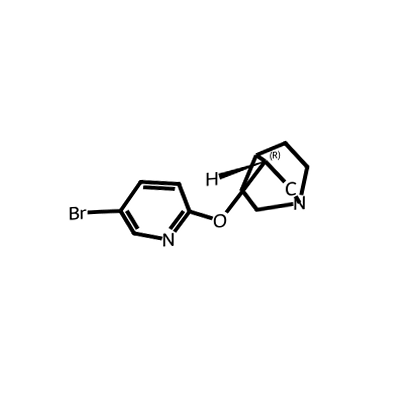 Brc1ccc(O[C@H]2CN3CCC2CC3)nc1